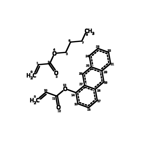 C=CC(=O)OCCCC.C=CC(=O)Oc1cccc2cc3ccccc3cc12